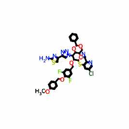 COc1ccc(COc2c(F)cc(COC3C(Sc4cc(Cl)cnc4C#N)OC4COC(c5ccccc5)OC4C3n3cc(-c4csc(N)n4)nn3)cc2F)cc1